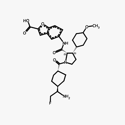 COC1CCC([C@@H]2CCN(C(=O)[C@H]3CC[C@H](C(N)CF)CC3)[C@@H]2C(=O)Nc2ccc3oc(C(=O)O)cc3c2)CC1